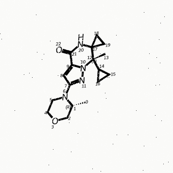 C[C@@H]1COCCN1c1cc2n(n1)[C@@](C)(C1CC1)C1(CC1)NC2=O